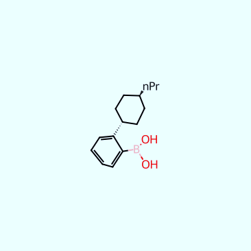 CCC[C@H]1CC[C@H](c2ccccc2B(O)O)CC1